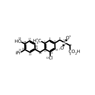 Cc1cc(CS(=O)(=O)CC(=O)O)cc(Cl)c1Cc1ccc(O)c(C(C)C)c1